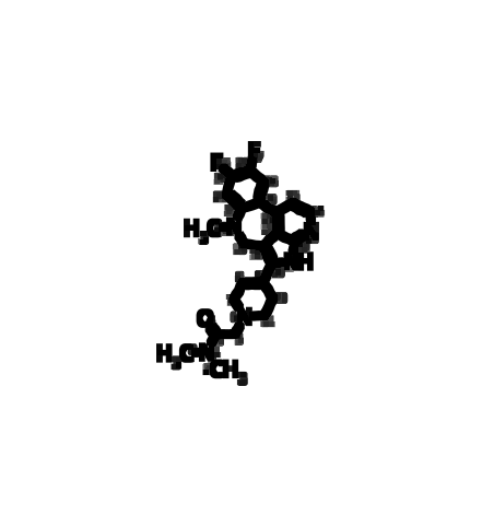 CN(C)C(=O)CN1CC=C(c2[nH]c3nccc4c3c2CN(C)c2cc(F)c(F)cc2-4)CC1